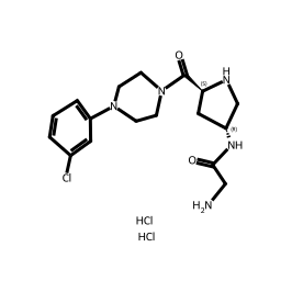 Cl.Cl.NCC(=O)N[C@H]1CN[C@H](C(=O)N2CCN(c3cccc(Cl)c3)CC2)C1